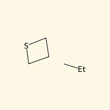 C1CSC1.CCC